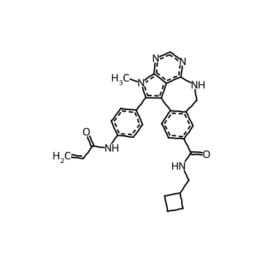 C=CC(=O)Nc1ccc(-c2c3c4c(ncnc4n2C)NCc2cc(C(=O)NCC4CCC4)ccc2-3)cc1